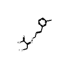 CCC(=NOCC=Cc1cccc(Cl)c1)C(=O)O